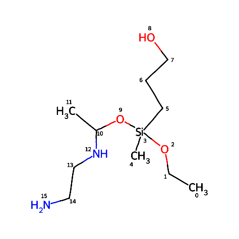 CCO[Si](C)(CCCO)OC(C)NCCN